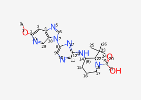 COc1cc2ncn(-c3cncc(N[C@@H]4CCCN(C(=O)O)C4C(C)(C)C)n3)c2cn1